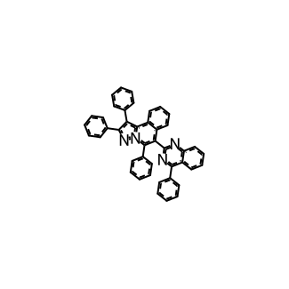 c1ccc(-c2nn3c(-c4ccccc4)c(-c4nc(-c5ccccc5)c5ccccc5n4)c4ccccc4c3c2-c2ccccc2)cc1